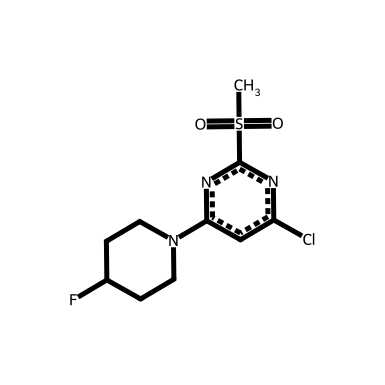 CS(=O)(=O)c1nc(Cl)cc(N2CCC(F)CC2)n1